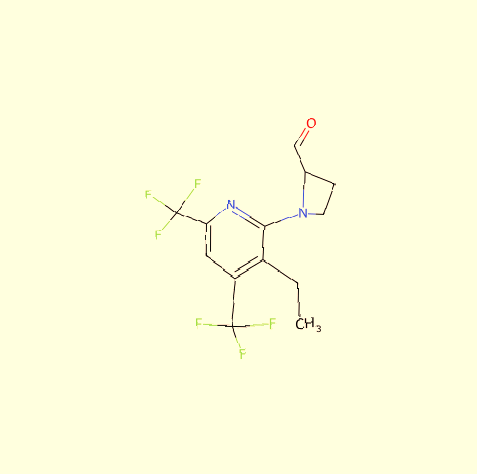 CCc1c(C(F)(F)F)cc(C(F)(F)F)nc1N1CCC1C=O